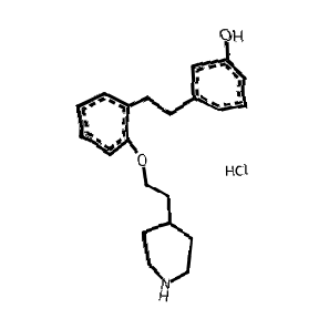 Cl.Oc1cccc(CCc2ccccc2OCCC2CCNCC2)c1